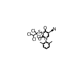 Cc1cccc(C)c1-n1cc(C#N)c(=O)n(SC(Cl)(Cl)C(Cl)Cl)c1=O